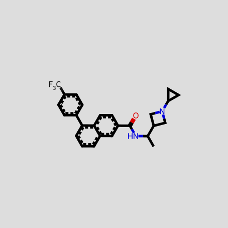 CC(NC(=O)c1ccc2c(-c3ccc(C(F)(F)F)cc3)cccc2c1)C1CN(C2CC2)C1